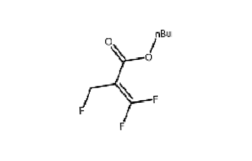 CCCCOC(=O)C(CF)=C(F)F